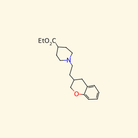 CCOC(=O)C1CCN(CCC2COc3ccccc3C2)CC1